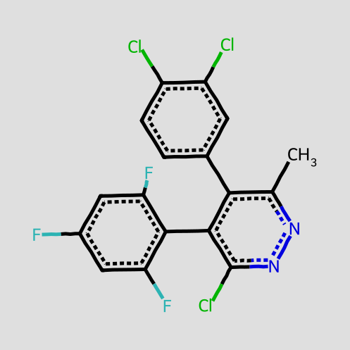 Cc1nnc(Cl)c(-c2c(F)cc(F)cc2F)c1-c1ccc(Cl)c(Cl)c1